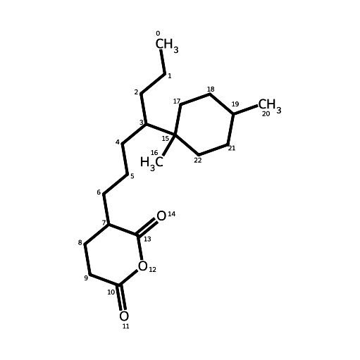 CCCC(CCCC1CCC(=O)OC1=O)C1(C)CCC(C)CC1